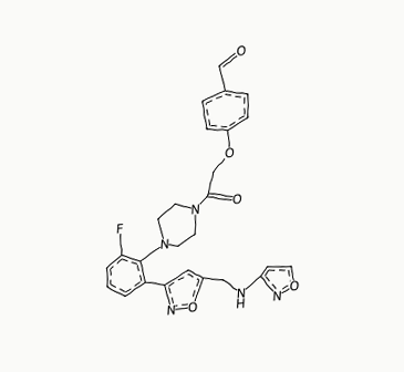 O=Cc1ccc(OCC(=O)N2CCN(c3c(F)cccc3-c3cc(CNc4ccon4)on3)CC2)cc1